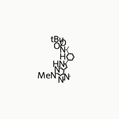 CNc1nc2[nH]c(-c3cccc(C(C)NC(=O)OC(C)(C)C)c3)cc2c2c1ncn2C